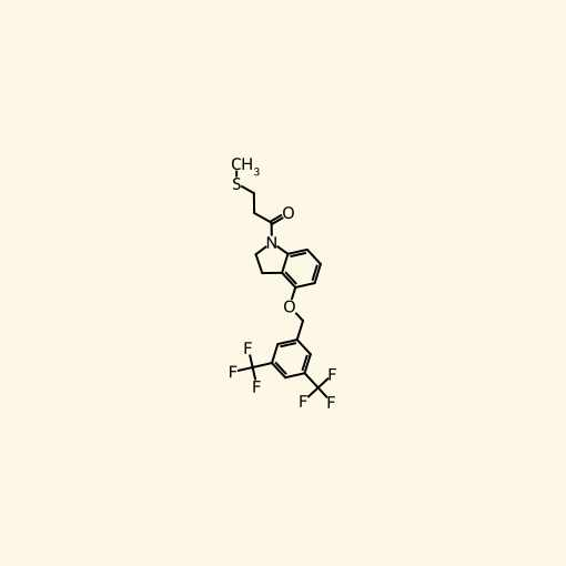 CSCCC(=O)N1CCc2c(OCc3cc(C(F)(F)F)cc(C(F)(F)F)c3)cccc21